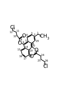 CCc1ccc2c(OC(=O)CCCCl)c3ccccc3c(OC(=O)CCCCl)c2c1